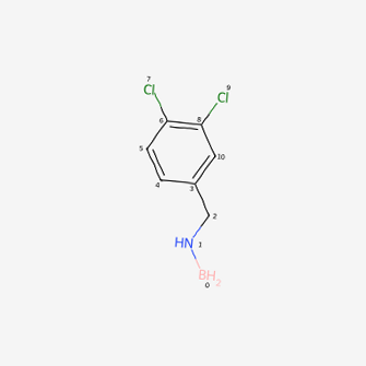 BNCc1ccc(Cl)c(Cl)c1